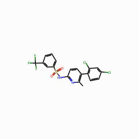 Cc1nc(NS(=O)(=O)c2cccc(C(F)(F)F)c2)ccc1-c1ccc(Cl)cc1Cl